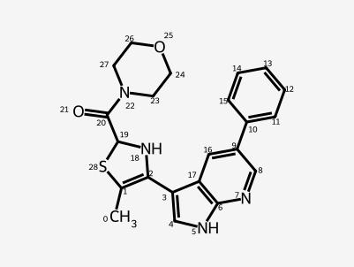 CC1=C(c2c[nH]c3ncc(-c4ccccc4)cc23)NC(C(=O)N2CCOCC2)S1